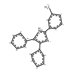 Cc1cccc(-c2nc(-c3ccccc3)c(-c3ccccc3)[nH]2)c1